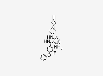 N=C(c1ccc(Oc2ccccc2)c(F)c1)c1c(N)ncnc1NC1CCN(C2CNC2)CC1